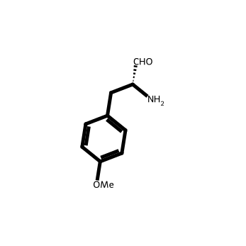 COc1ccc(C[C@@H](N)C=O)cc1